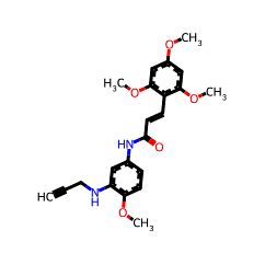 C#CCNc1cc(NC(=O)/C=C/c2c(OC)cc(OC)cc2OC)ccc1OC